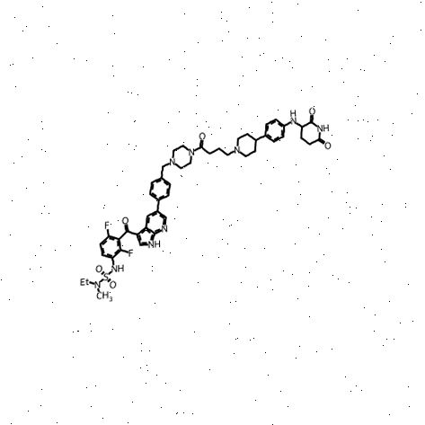 CCN(C)S(=O)(=O)Nc1ccc(F)c(C(=O)c2c[nH]c3ncc(-c4ccc(CN5CCN(C(=O)CCCN6CCC(c7ccc(NC8CCC(=O)NC8=O)cc7)CC6)CC5)cc4)cc23)c1F